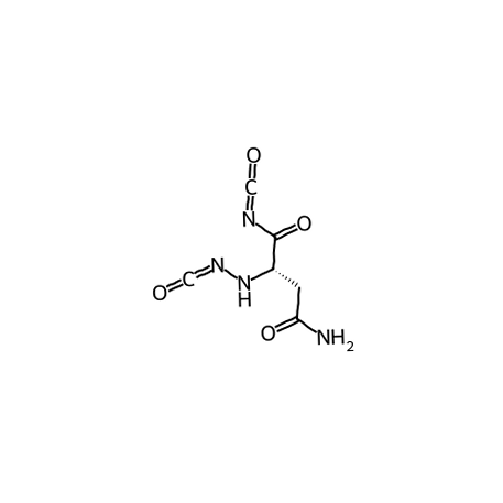 NC(=O)C[C@H](NN=C=O)C(=O)N=C=O